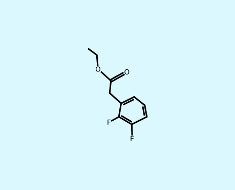 CCOC(=O)Cc1cccc(F)c1F